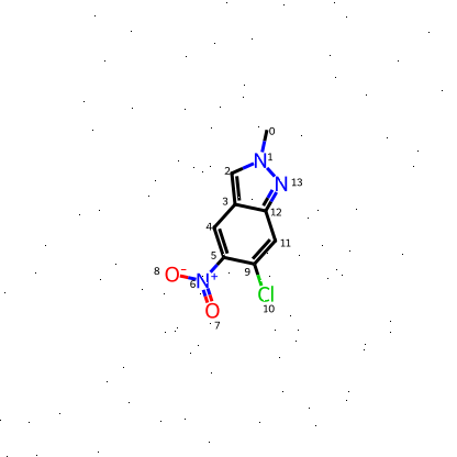 Cn1cc2cc([N+](=O)[O-])c(Cl)cc2n1